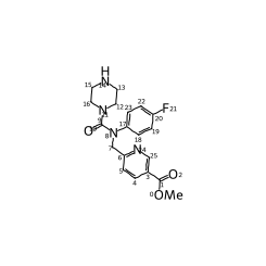 COC(=O)c1ccc(CN(C(=O)N2CCNCC2)c2ccc(F)cc2)nc1